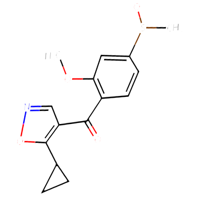 COc1cc([S+](C)[O-])ccc1C(=O)c1cnoc1C1CC1